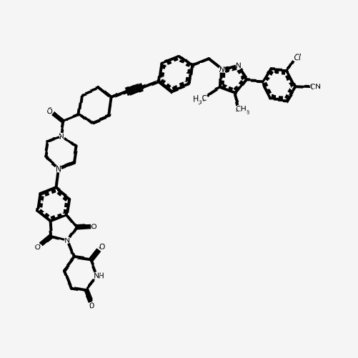 Cc1c(-c2ccc(C#N)c(Cl)c2)nn(Cc2ccc(C#CC3CCC(C(=O)N4CCN(c5ccc6c(c5)C(=O)N(C5CCC(=O)NC5=O)C6=O)CC4)CC3)cc2)c1C